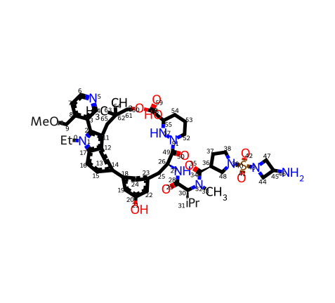 CCn1c(-c2cnccc2COC)c2c3cc(ccc31)-c1cc(O)cc(c1)C[C@H](NC(=O)[C@H](C(C)C)N(C)C(=O)[C@H]1CCN(S(=O)(=O)N3CC(N)C3)C1)C(=O)N1CCC[C@@](O)(N1)C(=O)OCC(C)(C)C2